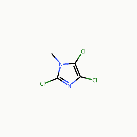 Cn1c(Cl)nc(Cl)c1Cl